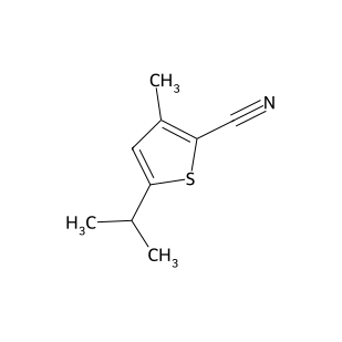 Cc1cc(C(C)C)sc1C#N